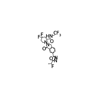 CC(F)c1nnc(-c2ccc3c(c2)C(=O)N(N2CCC(F)(F)CC2C(=O)NCC(F)(F)F)C3)o1